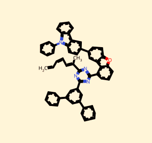 C=C/C=C\C=C(/C)c1nc(-c2cc(-c3ccccc3)cc(-c3ccccc3)c2)nc(-c2cccc3oc4ccc(-c5ccc6c(c5)c5ccccc5n6-c5ccccc5)cc4c23)n1